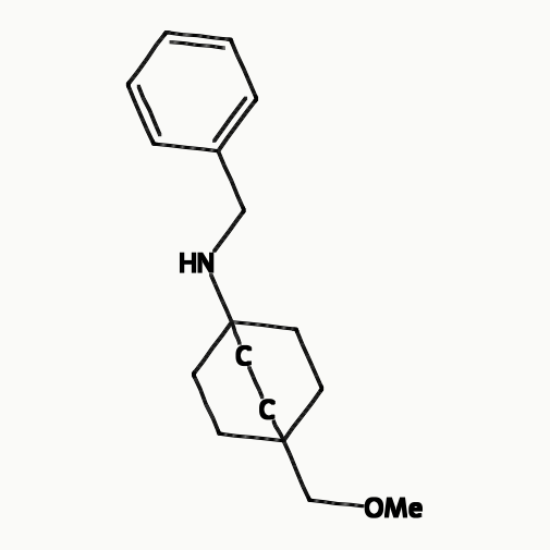 COCC12CCC(NCc3ccccc3)(CC1)CC2